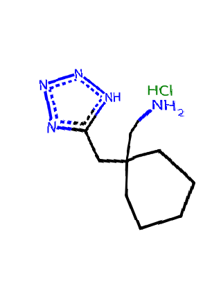 Cl.NCC1(Cc2nnn[nH]2)CCCCC1